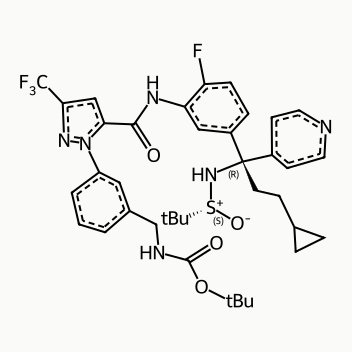 CC(C)(C)OC(=O)NCc1cccc(-n2nc(C(F)(F)F)cc2C(=O)Nc2cc([C@@](CCC3CC3)(N[S@+]([O-])C(C)(C)C)c3ccncc3)ccc2F)c1